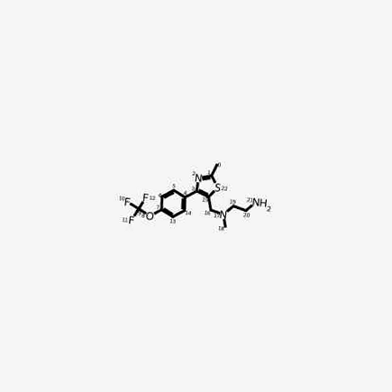 Cc1nc(-c2ccc(OC(F)(F)F)cc2)c(CN(C)CCN)s1